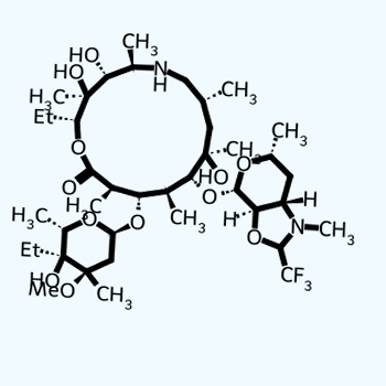 CC[C@H]1OC(=O)[C@H](C)[C@@H](O[C@H]2C[C@@](C)(OC)[C@](O)(CC)[C@H](C)O2)[C@H](C)[C@@H](O[C@@H]2O[C@H](C)C[C@H]3[C@H]2OC(C(F)(F)F)N3C)[C@](C)(O)C[C@@H](C)CN[C@H](C)[C@@H](O)[C@]1(C)O